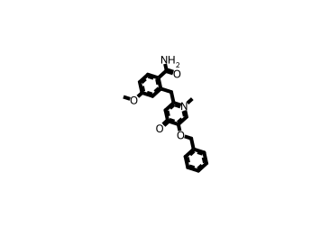 COc1ccc(C(N)=O)c(Cc2cc(=O)c(OCc3ccccc3)cn2C)c1